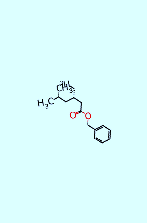 [3H]C[C@H](CC(=O)OCc1ccccc1)CC(C)C